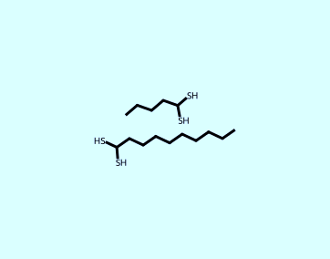 CCCCC(S)S.CCCCCCCCCC(S)S